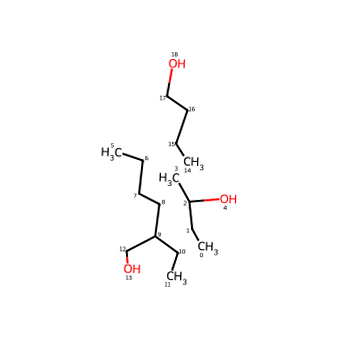 CCC(C)O.CCCCC(CC)CO.CCCCO